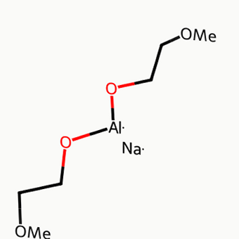 COCC[O][Al][O]CCOC.[Na]